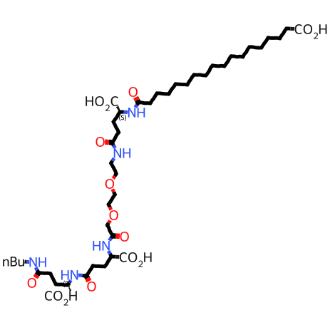 CCCCNC(=O)CC[C@H](NC(=O)CCC(NC(=O)COCCOCCNC(=O)CC[C@H](NC(=O)CCCCCCCCCCCCCCCCC(=O)O)C(=O)O)C(=O)O)C(=O)O